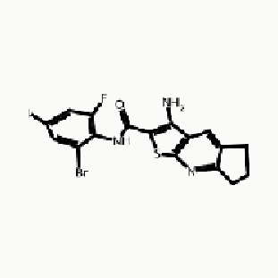 Nc1c(C(=O)Nc2c(F)cc(I)cc2Br)sc2nc3c(cc12)CCC3